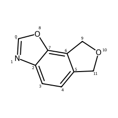 [c]1nc2ccc3c(c2o1)COC3